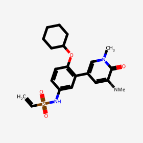 C=CS(=O)(=O)Nc1ccc(OC2CCCCC2)c(-c2cc(NC)c(=O)n(C)c2)c1